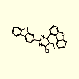 CCC1C(Cl)=NC(c2ccc3c(c2)oc2ccccc23)=NC1c1cccc2sc3ccccc3c12